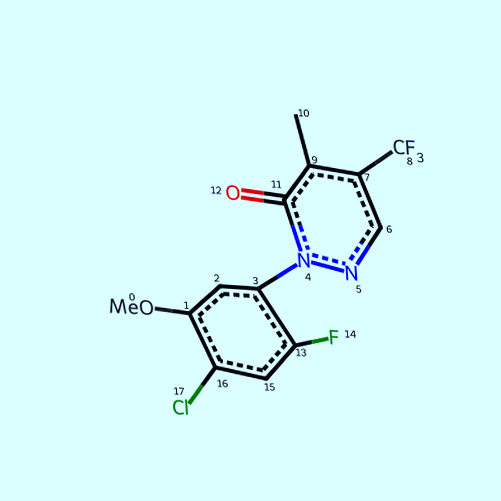 COc1cc(-n2ncc(C(F)(F)F)c(C)c2=O)c(F)cc1Cl